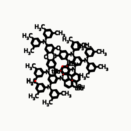 Cc1cc(C)cc(N(c2cc(C)cc(C)c2)c2cc3c4c(c2)Oc2cc5c(cc2B4c2cc4c(cc2O3)N(c2cc(C)cc(C)c2)c2cc(N(c3cc(C)cc(C)c3)c3cc(C)cc(C)c3)cc3c2B4c2cc(C(C)(C)C)cc4c6cc(C(C)(C)C)ccc6n-3c24)B2c3c(cc(N(c4cc(C)cc(C)c4)c4cc(C)cc(C)c4)cc3-n3c4ccc(C(C)(C)C)cc4c4cc(C(C)(C)C)cc2c43)N5c2cc(C)cc(C)c2)c1